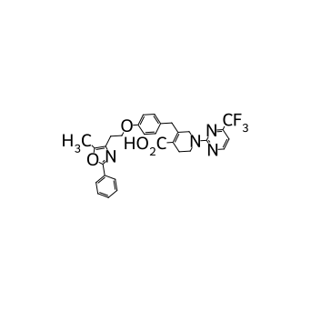 Cc1oc(-c2ccccc2)nc1CCOc1ccc(CC2=C(C(=O)O)CCN(c3nccc(C(F)(F)F)n3)C2)cc1